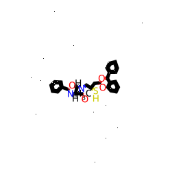 CC(S)(CC(=O)OC(c1ccccc1)c1ccccc1)CN1C(=O)[C@@H]2N=C(c3ccccc3)O[C@@H]21